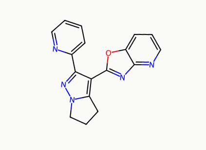 c1ccc(-c2nn3c(c2-c2nc4ncccc4o2)CCC3)nc1